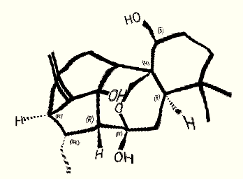 C=C1[C@@H]2CCC3C1(O)[C@@H]([C@@H]2C)[C@@]1(O)C[C@@H]2C(C)(C)CC[C@H](O)[C@@]32CO1